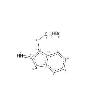 Br.CCn1c(=N)sc2ccccc21